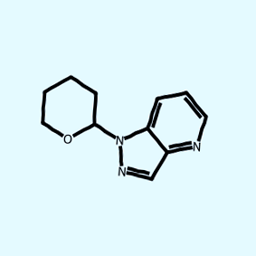 c1cnc2cnn(C3CCCCO3)c2c1